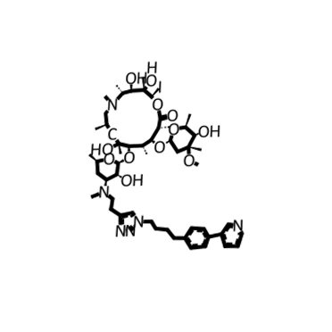 CO[C@]1(C)C[C@H](O[C@H]2[C@H](C)[C@@H](O[C@@H]3O[C@H](C)C[C@H](N(C)CCc4cn(CCCCc5ccc(-c6cccnc6)cc5)nn4)[C@H]3O)[C@](C)(O)C[C@@H](C)CN(C)[C@H](C)[C@@H](O)[C@](C)(O)[C@@H](I)OC(=O)[C@@H]2C)O[C@@H](C)[C@@H]1O